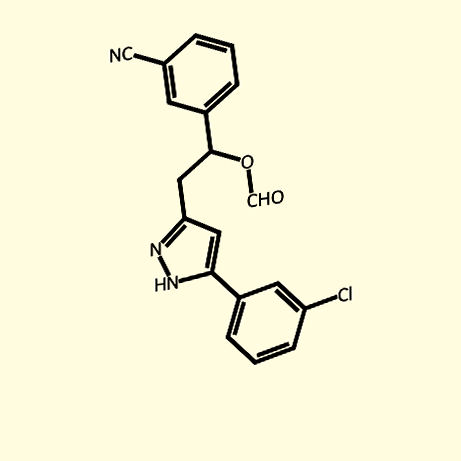 N#Cc1cccc(C(Cc2cc(-c3cccc(Cl)c3)[nH]n2)OC=O)c1